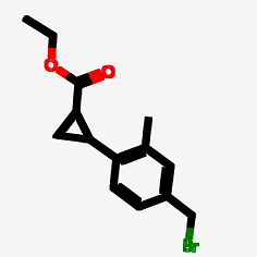 CCOC(=O)C1CC1c1ccc(CBr)cc1C